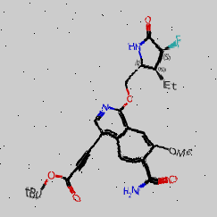 CC[C@@H]1[C@H](F)C(=O)N[C@@H]1COc1ncc(C#CC(=O)OC(C)(C)C)c2cc(C(N)=O)c(OC)cc12